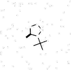 CC(C)(C)N1NNNC1=O